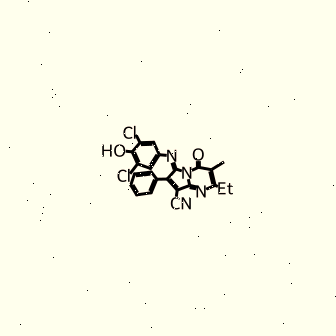 CCc1nc2n(c(=O)c1C)/C(=N/c1cc(Cl)c(O)c(Cl)c1)C(c1ccccc1)=C2C#N